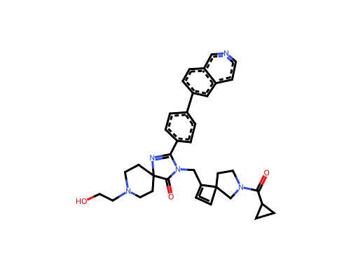 O=C(C1CC1)N1CCC2(C=C=C2CN2C(=O)C3(CCN(CCO)CC3)N=C2c2ccc(-c3ccc4cnccc4c3)cc2)C1